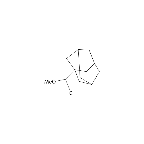 COC(Cl)C12CC3CC(CC(C3)C1)C2